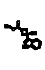 CC(C)(C)OC(=O)N1CC(O)(c2c[nH]c3ccccc23)C1